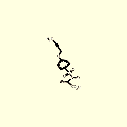 CC#CCOc1ccc(S(=O)(=O)N(CC)C(C(=O)O)C(C)C)cc1